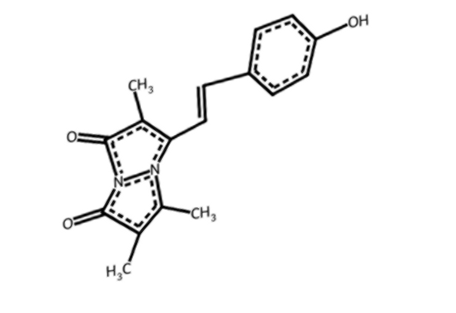 Cc1c(C)n2c(/C=C/c3ccc(O)cc3)c(C)c(=O)n2c1=O